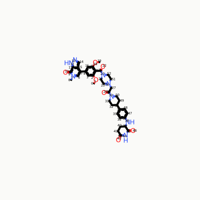 COc1cc(-c2cn(C)c(=O)c3[nH]ncc23)cc(OC)c1C(=O)N1CCN(CC(=O)N2CCC(c3ccc(NC4CCC(=O)NC4=O)cc3)CC2)CC1